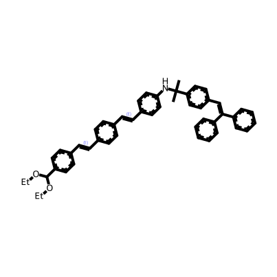 CCOC(OCC)c1ccc(/C=C/c2ccc(/C=C/c3ccc(NC(C)(C)c4ccc(C=C(c5ccccc5)c5ccccc5)cc4)cc3)cc2)cc1